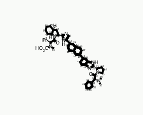 CC(C)[C@@H](C(=O)N1[C@H](c2ncc(-c3ccc4cc(-c5ccc6nc([C@@H]7CCCN7C(=O)[C@@H](c7ccccc7)N(C)C)[nH]c6c5)ccc4c3)[nH]2)C[C@@H]2CCCC[C@@H]21)N(C)C(=O)O